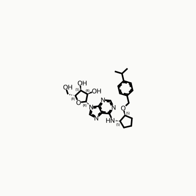 CC(C)c1ccc(CO[C@H]2CCC[C@@H]2Nc2ncnc3c2ncn3[C@@H]2O[C@H](CO)[C@@H](O)[C@H]2O)cc1